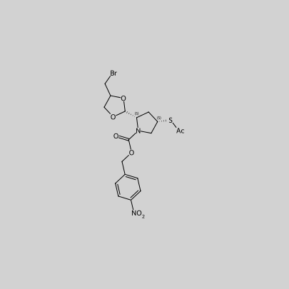 CC(=O)S[C@H]1C[C@@H](C2OCC(CBr)O2)N(C(=O)OCc2ccc([N+](=O)[O-])cc2)C1